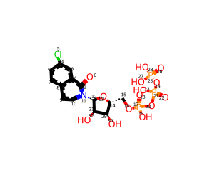 O=c1c2cc(Cl)ccc2ccn1[C@@H]1O[C@H](COP(=O)(O)OP(=O)(O)OP(=O)(O)O)[C@@H](O)[C@H]1O